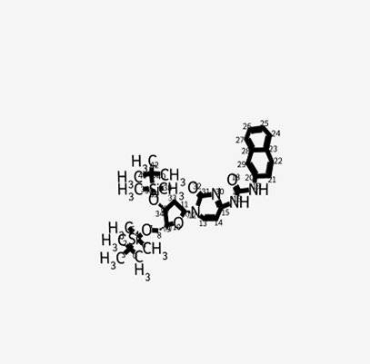 CC(C)(C)[Si](C)(C)OC[C@H]1O[C@@H](n2ccc(NC(=O)Nc3ccc4ccccc4c3)nc2=O)C[C@@H]1O[Si](C)(C)C(C)(C)C